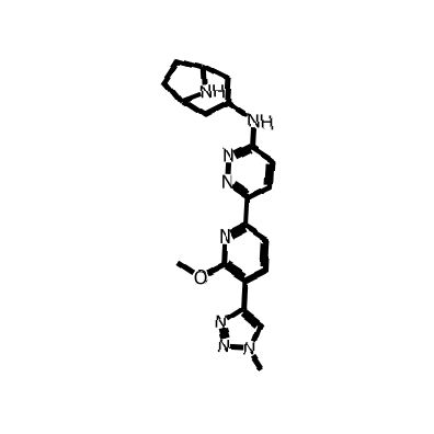 COc1nc(-c2ccc(NC3CC4CCC(C3)N4)nn2)ccc1-c1cn(C)nn1